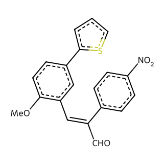 COc1ccc(-c2cccs2)cc1C=C(C=O)c1ccc([N+](=O)[O-])cc1